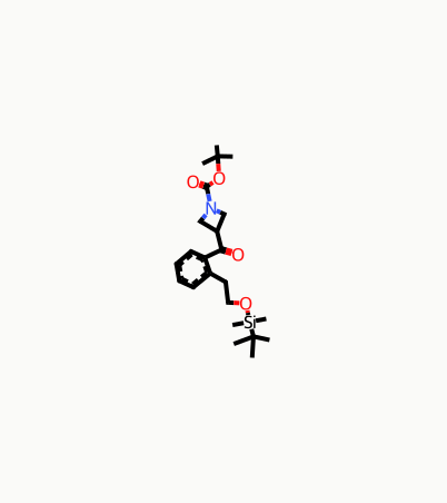 CC(C)(C)OC(=O)N1CC(C(=O)c2ccccc2CCO[Si](C)(C)C(C)(C)C)C1